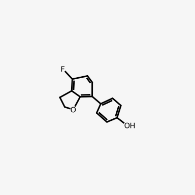 Oc1ccc(-c2ccc(F)c3c2OCC3)cc1